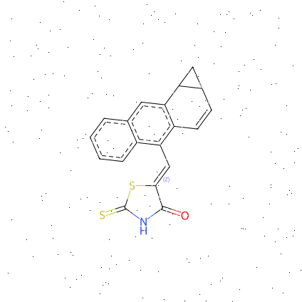 O=C1NC(=S)S/C1=C\c1c2c(cc3ccccc13)C1CC1C=C2